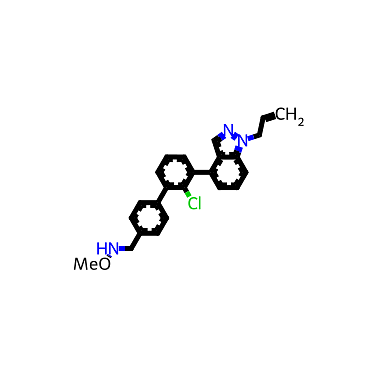 C=CCn1ncc2c(-c3cccc(-c4ccc(CNOC)cc4)c3Cl)cccc21